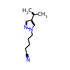 C=C(C)c1cnn(CCCCC#N)c1